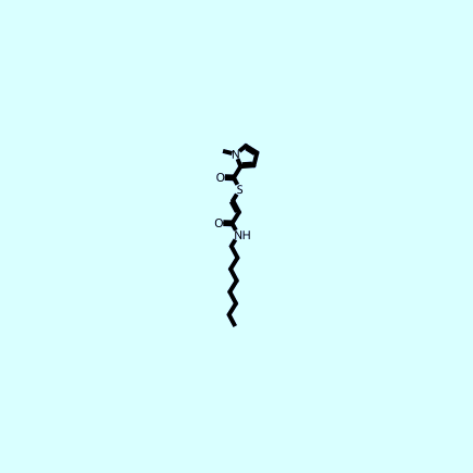 CCCCCCCCNC(=O)C=CSC(=O)c1cccn1C